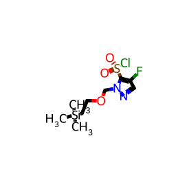 C[Si](C)(C)CCOCn1ncc(F)c1S(=O)(=O)Cl